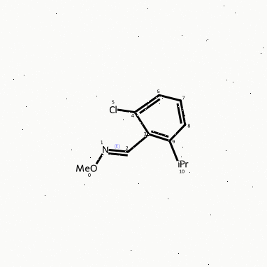 CO/N=C/c1c(Cl)cccc1C(C)C